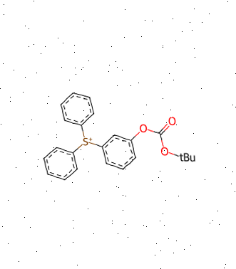 CC(C)(C)OC(=O)Oc1cccc([S+](c2ccccc2)c2ccccc2)c1